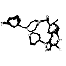 Cc1cc2[nH]c(=O)c3cnn(C4CCOCC4)c3c2cc1C(=O)N1CCN(Cc2cccc(F)c2)CC1